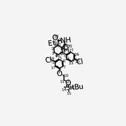 CC[C@@]12CC[C@@H](c3ccc(OCCO[Si](C)(C)C(C)(C)C)cc3Cl)[C@H](c3ccc(Cl)cc3)[C@@H]1[C@@H](C)NC2=O